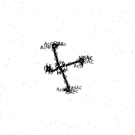 CC(=O)NC1C(OCCOCCOCCNC(=O)CCC(CCC(=O)NCCOCCOCCOC2OC(COC(C)=O)C(OC(C)=O)C(OC(C)=O)C2NC(C)=O)(CCC(=O)NCCOCCOCCOC2OC(COC(C)=O)C(OC(C)=O)C(OC(C)=O)C2NC(C)=O)NC(=O)CCCC(=O)Oc2c(F)c(F)c(F)c(F)c2F)OC(COC(C)=O)C(OC(C)=O)C1OC(C)=O